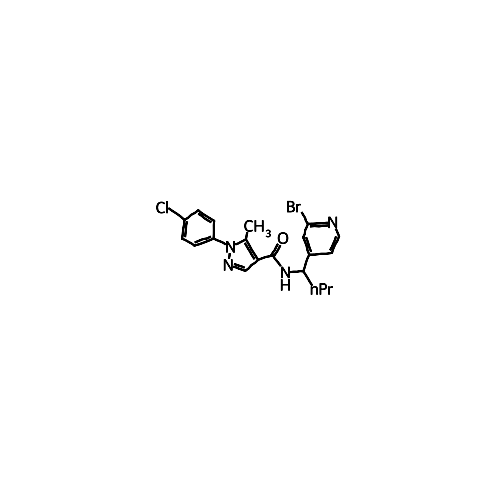 CCCC(NC(=O)c1cnn(-c2ccc(Cl)cc2)c1C)c1ccnc(Br)c1